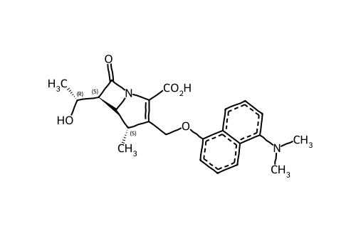 C[C@H]1C(COc2cccc3c(N(C)C)cccc23)=C(C(=O)O)N2C(=O)[C@H]([C@@H](C)O)C12